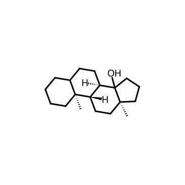 C[C@@]12CCCC1(O)[C@@H]1CCC3CCCC[C@]3(C)[C@H]1CC2